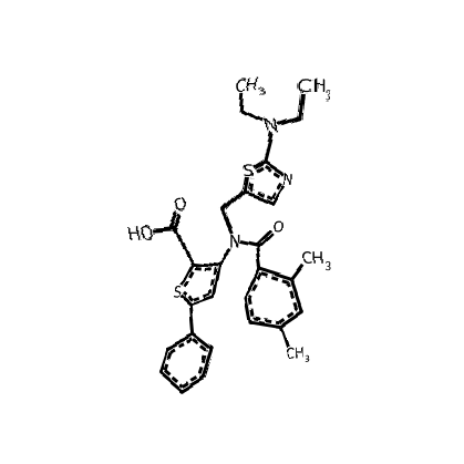 CCN(CC)c1ncc(CN(C(=O)c2ccc(C)cc2C)c2cc(-c3ccccc3)sc2C(=O)O)s1